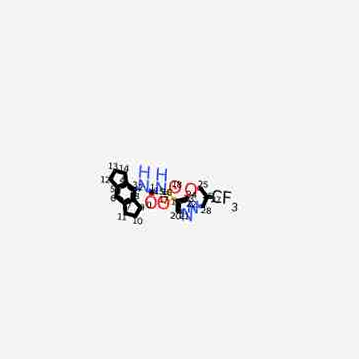 O=C(Nc1c2c(cc3c1CCC3)CCC2)NS(=O)(=O)c1cnn2c1OCC(C(F)(F)F)C2